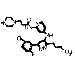 CN1CCN(CCC(=O)Nc2cc(Nc3cc(-c4cc(Cl)ccc4F)nnc3CCCC(=O)O)ccn2)CC1